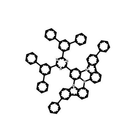 c1ccc(-c2cc(-c3ccccc3)cc(-c3nc(-c4cc(-c5ccccc5)cc(-c5ccccc5)c4)nc(-c4cc5c6c(c4)-n4c7ccc(-c8ccccc8)cc7c7cccc(c74)B6c4cccc6c7cc(-c8ccccc8)ccc7n-5c46)n3)c2)cc1